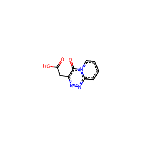 O=C(O)Cc1nnc2ccccn2c1=O